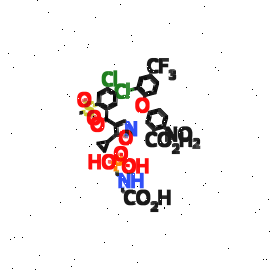 CS(=O)(=O)c1cc(Cl)ccc1C(=O)c1cnoc1C1CC1.O=C(O)CNCP(=O)(O)O.O=C(O)c1cc(Oc2ccc(C(F)(F)F)cc2Cl)ccc1[N+](=O)[O-]